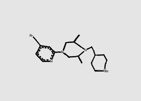 CC1CN(c2cc(Br)ccn2)CC(C)N1CC1CCNCC1